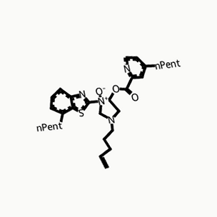 C=CCCCN1CC(OC(=O)c2cc(CCCCC)ccn2)[N+]([O-])(c2nc3cccc(CCCCC)c3s2)C1